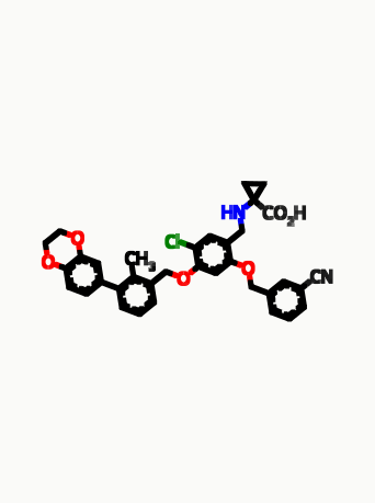 Cc1c(COc2cc(OCc3cccc(C#N)c3)c(CNC3(C(=O)O)CC3)cc2Cl)cccc1-c1ccc2c(c1)OCCO2